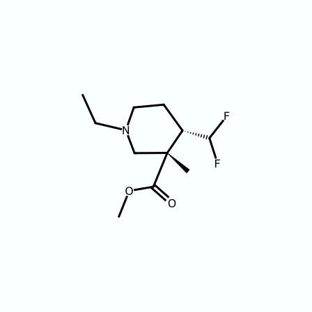 CCN1CC[C@H](C(F)F)[C@](C)(C(=O)OC)C1